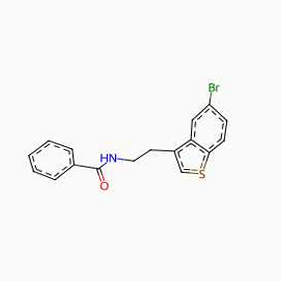 O=C(NCCc1csc2ccc(Br)cc12)c1ccccc1